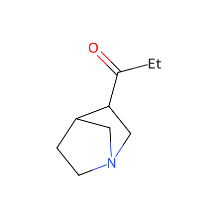 CCC(=O)C1CN2CCC1C2